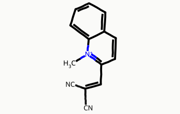 C[n+]1c(C=C(C#N)C#N)ccc2ccccc21